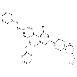 OCC1COC2(CCN(c3cc(F)c(-c4ccc(OCc5ccccc5)nc4OCc4ccccc4)c(F)c3)CC2)C1